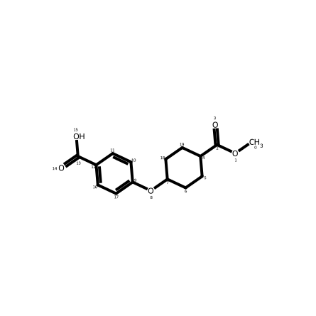 COC(=O)C1CCC(Oc2ccc(C(=O)O)cc2)CC1